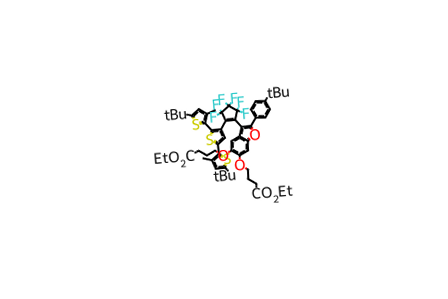 CCOC(=O)CCCOc1cc2oc(-c3ccc(C(C)(C)C)cc3)c(C3=C(c4cc(-c5sc(C(C)(C)C)cc5C)sc4-c4sc(C(C)(C)C)cc4C)C(F)(F)C(F)(F)C3(F)F)c2cc1OCCCC(=O)OCC